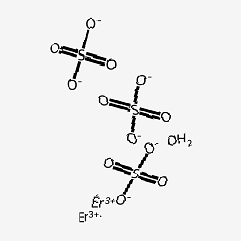 O.O=S(=O)([O-])[O-].O=S(=O)([O-])[O-].O=S(=O)([O-])[O-].[Er+3].[Er+3]